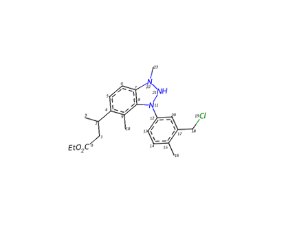 CCOC(=O)CC(C)c1ccc2c(c1C)N(c1ccc(C)c(CCl)c1)NN2C